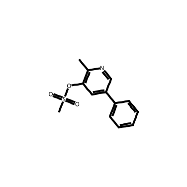 Cc1ncc(-c2ccccc2)cc1OS(C)(=O)=O